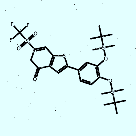 CC(C)(C)[Si](C)(C)Oc1ccc(-c2[c]c3c(s2)C=C(S(=O)(=O)C(F)(F)F)CC3=O)cc1O[Si](C)(C)C(C)(C)C